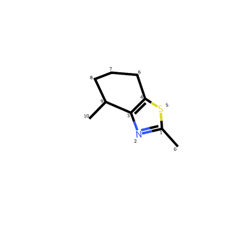 Cc1nc2c(s1)CCCC2C